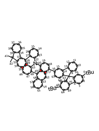 CC(C)(C)c1ccc2c(c1)C1(c3ccccc3-c3cc(-c4ccc(N(c5ccccc5-c5cccc6c5-c5ccccc5C6(C)C)c5ccccc5-c5cccc6ccccc56)cc4)ccc31)c1cc(C(C)(C)C)ccc1-2